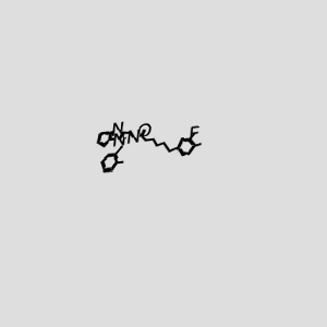 Cc1ccc(CCCCCC(=O)[N]Cc2nc3ccccc3n2Cc2ccccc2C)cc1F